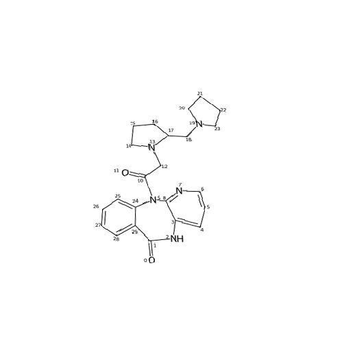 O=C1Nc2cccnc2N(C(=O)CN2CCCC2CN2CCCC2)c2ccccc21